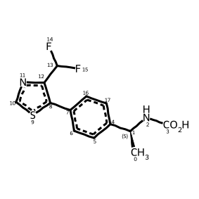 C[C@H](NC(=O)O)c1ccc(-c2scnc2C(F)F)cc1